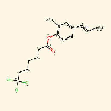 COc1cc(/C=C/C(=O)O)ccc1OC(=O)CCCCC[Si](Cl)(Cl)Cl